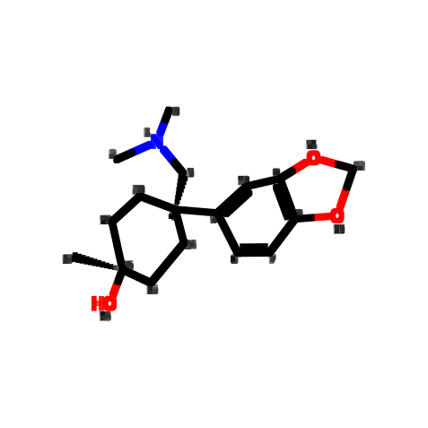 CN(C)C[C@]1(c2ccc3c(c2)OCO3)CC[C@@](C)(O)CC1